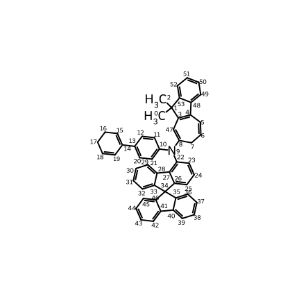 CC1(C)C2=C(C=CCC(N(c3ccc(C4=CCCC=C4)cc3)c3cccc4c3-c3ccccc3C43c4ccccc4-c4ccccc43)=C2)c2ccccc21